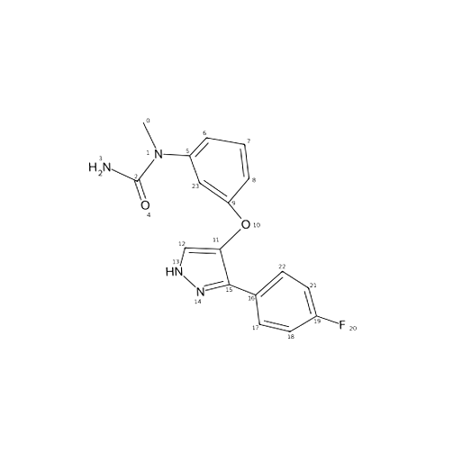 CN(C(N)=O)c1cccc(Oc2c[nH]nc2-c2ccc(F)cc2)c1